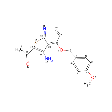 COc1ccc(COc2ccnc3sc(C(C)=O)c(N)c23)cc1